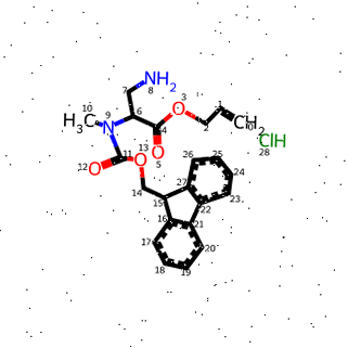 C=CCOC(=O)C(CN)N(C)C(=O)OCC1c2ccccc2-c2ccccc21.Cl